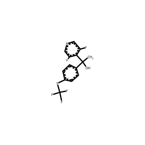 CC(O)(c1ccc(SC(F)(F)F)cc1)c1c(F)cncc1F